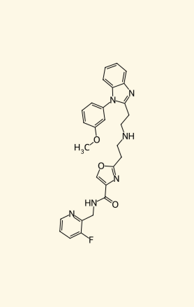 COc1cccc(-n2c(CCNCCc3nc(C(=O)NCc4ncccc4F)co3)nc3ccccc32)c1